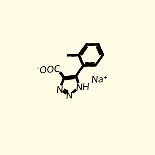 Cc1ccccc1-c1[nH]nnc1C(=O)[O-].[Na+]